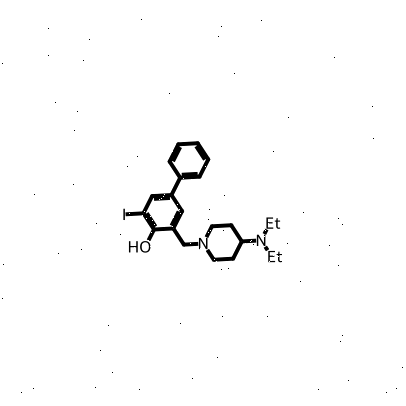 CCN(CC)C1CCN(Cc2cc(-c3ccccc3)cc(I)c2O)CC1